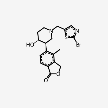 Cc1c([C@@H]2CN(Cc3cnc(Br)s3)CC[C@H]2O)ccc2c1COC2=O